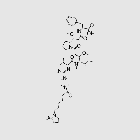 CC[C@H](C)[C@@H]([C@@H](CC(=O)N1CCC[C@H]1[C@H](OC)[C@@H](C)C(=O)N[C@@H](Cc1ccccc1)C(=O)O)OC)N(C)C(=O)[C@@H](/N=C(\N(C)C)N1CCN(C(=O)CCCCCN2CC=CC2=O)CC1)C(C)C